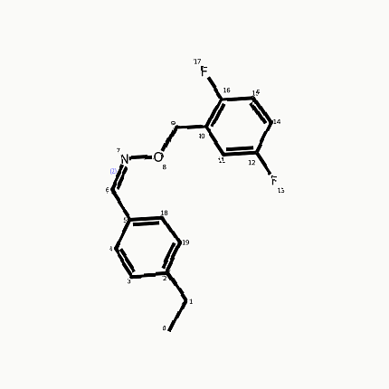 CCc1ccc(/[C]=N\OCc2cc(F)ccc2F)cc1